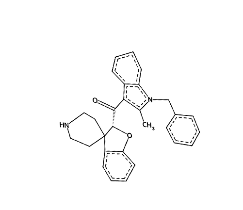 Cc1c(C(=O)[C@@H]2Oc3ccccc3C23CCNCC3)c2ccccc2n1Cc1ccccc1